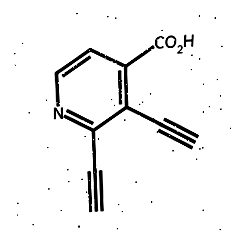 C#Cc1nccc(C(=O)O)c1C#C